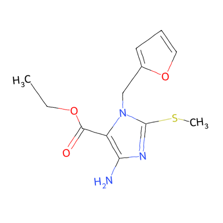 CCOC(=O)c1c(N)nc(SC)n1Cc1ccco1